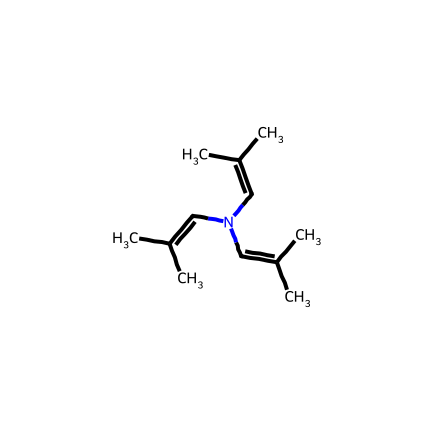 CC(C)=CN(C=C(C)C)C=C(C)C